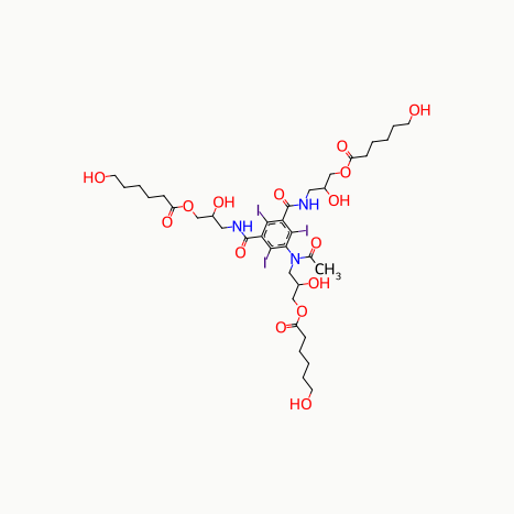 CC(=O)N(CC(O)COC(=O)CCCCCO)c1c(I)c(C(=O)NCC(O)COC(=O)CCCCCO)c(I)c(C(=O)NCC(O)COC(=O)CCCCCO)c1I